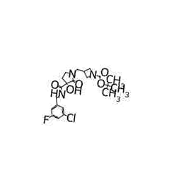 CC(C)(C)OC(=O)N1CC(CN2CCC(O)(C(=O)NCc3cc(F)cc(Cl)c3)C2=O)C1